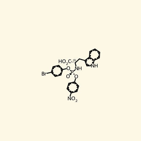 O=C(O)[C@H](Cc1c[nH]c2ccccc12)NP(=O)(Oc1ccc(Br)cc1)Oc1ccc([N+](=O)[O-])cc1